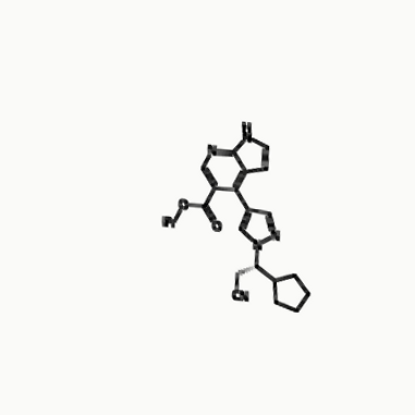 CC(C)OC(=O)c1cnc2[nH]ccc2c1-c1cnn([C@@H](CC#N)C2CCCC2)c1